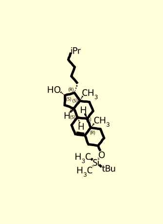 CC(C)CCCC[C@H]1[C@@H](O)C[C@H]2[C@@H]3CC=C4CC(O[Si](C)(C)C(C)(C)C)CC[C@]4(C)[C@H]3CC[C@@]21C